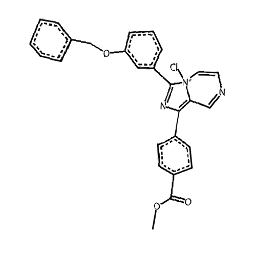 COC(=O)c1ccc(C2=C3C=NC=C[N+]3(Cl)C(c3cccc(OCc4ccccc4)c3)=N2)cc1